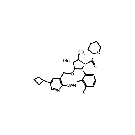 COc1ncc(C2CCC2)cc1CO[C@H]1[C@H](C(C)(C)C)[C@@H](C(=O)O)N(C(=O)[C@@H]2CCCCO2)[C@H]1c1cccc(Cl)c1C